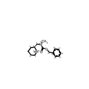 CN(C[C@@H]1CCCCN1)C(=O)OCc1ccccc1